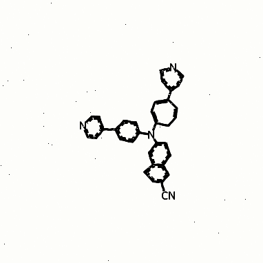 N#Cc1ccc2cc(N(C3=CC=C(c4ccncc4)C=CC3)c3ccc(-c4ccncc4)cc3)ccc2c1